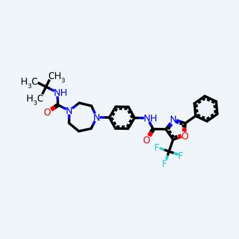 CC(C)(C)NC(=O)N1CCCN(c2ccc(NC(=O)c3nc(-c4ccccc4)oc3C(F)(F)F)cc2)CC1